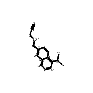 C#CCOCc1ccc2c(C(C)C)cccc2c1